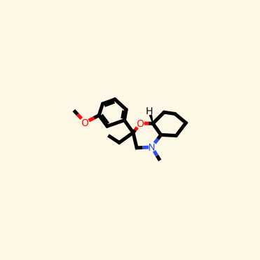 CCC1(c2cccc(OC)c2)CN(C)C2CCCC[C@H]2O1